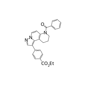 CCOC(=O)c1ccc(-c2cnn3ccc4c(c23)CCCN4C(=O)c2ccccc2)cc1